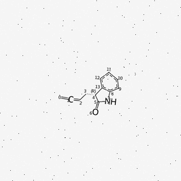 C=C=CC[C@H]1C(=O)Nc2ccccc21